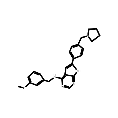 COc1cccc(CNc2ncnc3[nH]c(-c4ccc(CN5CCCC5)cc4)cc23)c1